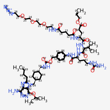 C=CCOC(=O)CC[C@H](NC(=O)CCCC(=O)NCCOCCOCCOCCN=[N+]=[N-])C(=O)N[C@H](C(=O)N[C@@H](CCCNC(N)=O)C(=O)Nc1ccc(COC(=O)NC[C@H]2CC[C@H](Cn3c(CCCC)nc4c(N)nnc(OC(C)C)c43)CC2)cc1)C(C)C